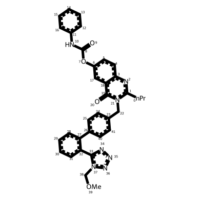 CCCc1nc2ccc(OC(=O)Nc3ccccc3)cc2c(=O)n1Cc1ccc(-c2ccccc2-c2nnnn2COC)cc1